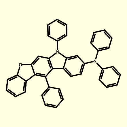 c1ccc(-c2c3c(cc4c2c2ccc(N(c5ccccc5)c5ccccc5)cc2n4-c2ccccc2)oc2ccccc23)cc1